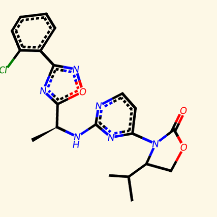 CC(C)C1COC(=O)N1c1ccnc(N[C@@H](C)c2nc(-c3ccccc3Cl)no2)n1